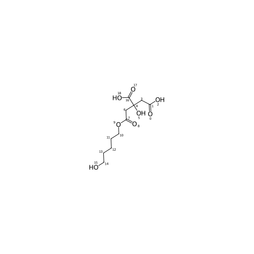 O=C(O)CC(O)(CC(=O)OCCCCCO)C(=O)O